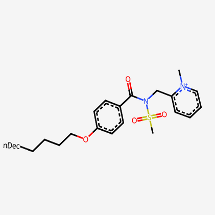 CCCCCCCCCCCCCCOc1ccc(C(=O)N(Cc2cccc[n+]2C)S(C)(=O)=O)cc1